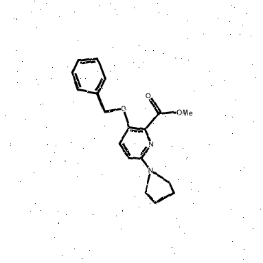 COC(=O)c1nc(N2CCCC2)ccc1OCc1ccccc1